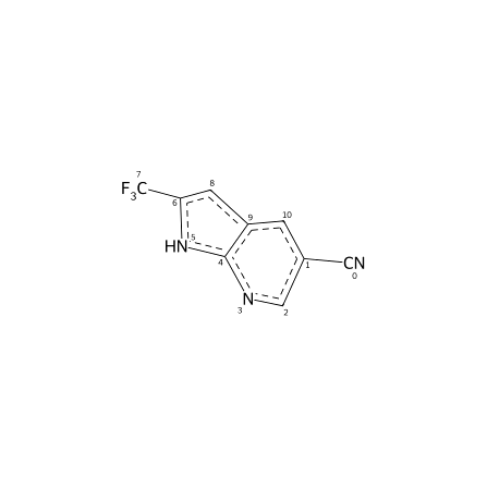 N#Cc1cnc2[nH]c(C(F)(F)F)cc2c1